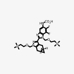 C[C@@]12Cc3c(c(-c4nc5cc(NC(=O)O)c(F)c(F)c5n4COCC[Si](C)(C)C)nn3COCC[Si](C)(C)C)C[C@@H]1C2